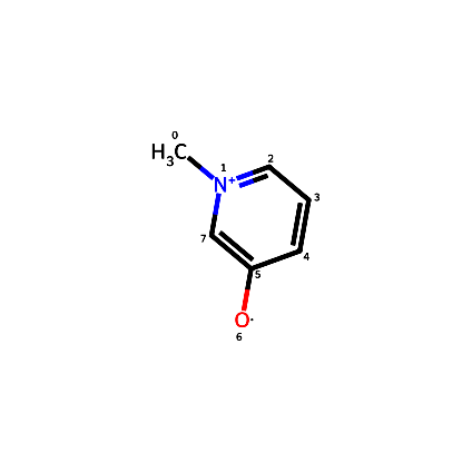 C[n+]1cccc([O])c1